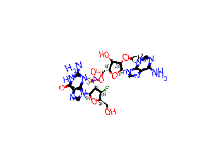 CO[C@@H]1[C@H](O)[C@@H](COP(O)(=S)[C@@H]2[C@@H](F)[C@@H](CO)O[C@H]2n2cnc3c(=O)[nH]c(N)nc32)O[C@H]1n1cnc2c(N)ncnc21